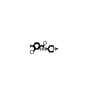 CN1CCC(NC(=O)c2ccc(I)c(Cl)c2)CC1